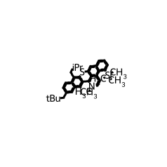 Cc1c2c(c(CC(C)C)c3ccc(CC(C)(C)C)cc13)Sc1cc3cccc([Si](C)(C)C)c3c3cc[n+](C)c-2c13